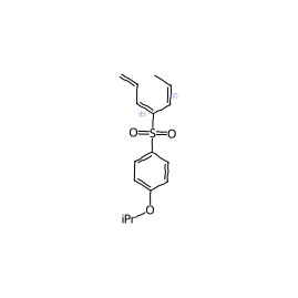 C=C/C=C(\C=C/C)S(=O)(=O)c1ccc(OC(C)C)cc1